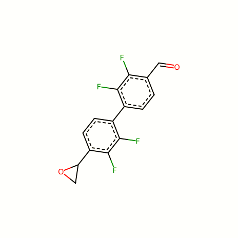 O=Cc1ccc(-c2ccc(C3CO3)c(F)c2F)c(F)c1F